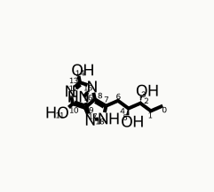 CC[C@@H](O)[C@@H](O)CC1=C2C3=C(O)N=C(O)N2NN3N1